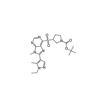 CCn1ncc(-c2nc3c(S(=O)(=O)C4CCN(C(=O)OC(C)(C)C)C4)ncnc3n2C)c1C